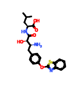 CC(C)C[C@H](NC(=O)[C@@H](O)[C@H](N)Cc1ccc(Oc2nc3ccccc3s2)cc1)C(=O)O